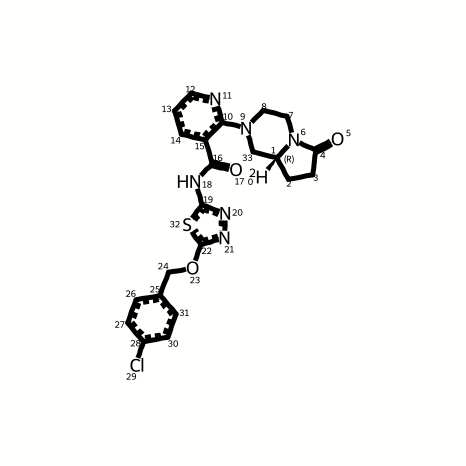 [2H][C@]12CCC(=O)N1CCN(c1ncccc1C(=O)Nc1nnc(OCc3ccc(Cl)cc3)s1)C2